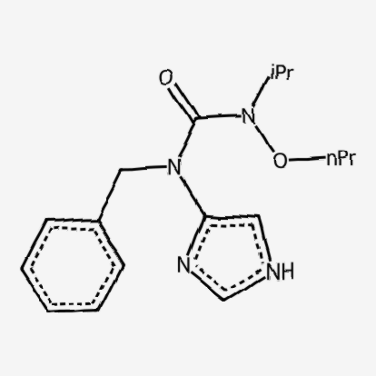 CCCON(C(=O)N(Cc1ccccc1)c1c[nH]cn1)C(C)C